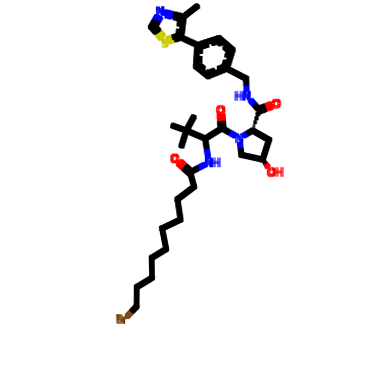 Cc1ncsc1-c1ccc(CNC(=O)[C@@H]2C[C@@H](O)CN2C(=O)C(NC(=O)CCCCCCCCCBr)C(C)(C)C)cc1